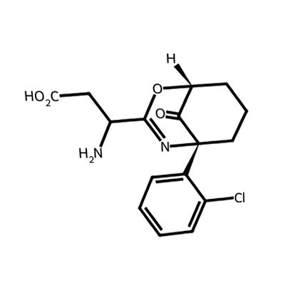 NC(CC(=O)O)C1=N[C@@]2(c3ccccc3Cl)CCC[C@@H](O1)C2=O